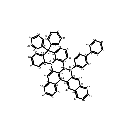 c1ccc(-c2ccc(N3B4c5cccc6c5N(c5ccccc5C6(c5ccccc5)c5ccccc5)c5cc6ccccc6c(c54)-c4cc5ccccc5cc43)cc2)cc1